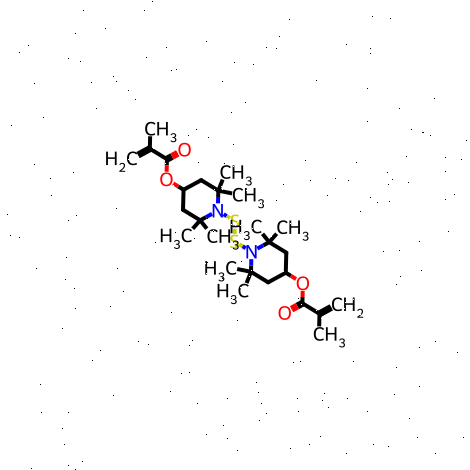 C=C(C)C(=O)OC1CC(C)(C)N(SSN2C(C)(C)CC(OC(=O)C(=C)C)CC2(C)C)C(C)(C)C1